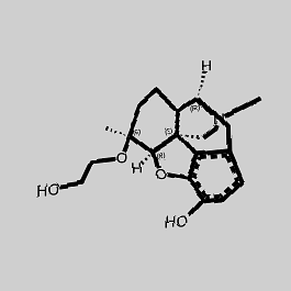 CN1CC[C@]23c4c5ccc(O)c4O[C@H]2[C@@](C)(OCCO)CCC3[C@H]1C5